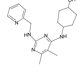 Cc1nc(NCc2ccccn2)nc(NC2CCC(O)CC2)c1C